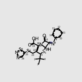 CC(C)(C)C1S[C@@H]2/C(=N/c3ccccc3)C(=O)N2C(C(=O)O)=C1CSc1cnns1